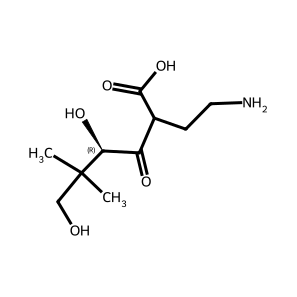 CC(C)(CO)[C@@H](O)C(=O)C(CCN)C(=O)O